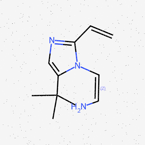 C=Cc1ncc(C(C)(C)C)n1/C=C\N